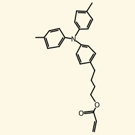 C=CC(=O)OCCCCc1ccc(N(c2ccc(C)cc2)c2ccc(C)cc2)cc1